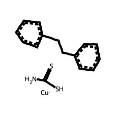 NC(=S)S.[Cu].c1ccc(CCc2ccccc2)cc1